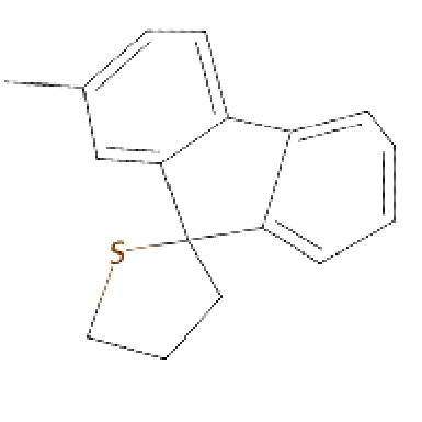 Cc1ccc2c(c1)C1(CCCS1)c1ccccc1-2